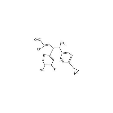 CC/C(C=O)=C\C(=C(/C)c1ccc(C2CC2)cc1)c1ccc(C#N)c(F)c1